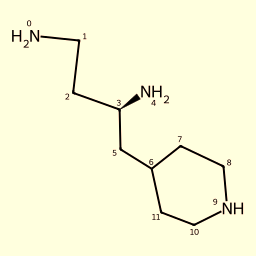 NCC[C@@H](N)CC1CCNCC1